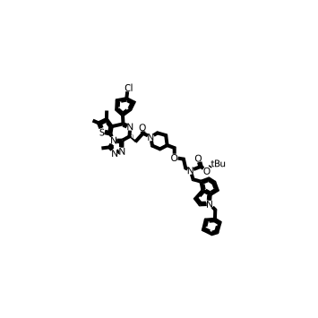 Cc1sc2c(c1C)C(c1ccc(Cl)cc1)=N[C@@H](CC(=O)N1CCC(COCCN(Cc3cccc4c3ccn4Cc3ccccc3)C(=O)OC(C)(C)C)CC1)c1nnc(C)n1-2